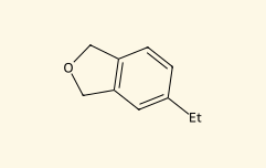 CCc1ccc2c(c1)COC2